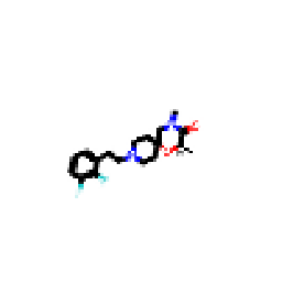 C[C@H]1OC2(CCN(CCc3cccc(F)c3F)CC2)CN(C)C1=O